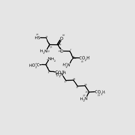 NC(CC(=O)O)C(=O)O.NC(COC(=O)C(N)CS)C(=O)O.NCCCCC(N)C(=O)O